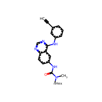 C#Cc1cccc(Nc2ncnc3ccc(NC(=O)N(C)CCCCCC)cc23)c1